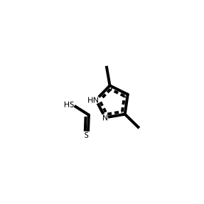 Cc1cc(C)[nH]n1.S=CS